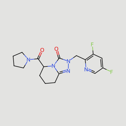 O=C(C1CCCc2nn(Cc3ncc(F)cc3F)c(=O)n21)N1CCCC1